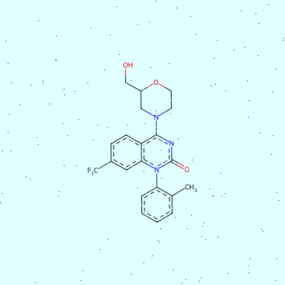 Cc1ccccc1-n1c(=O)nc(N2CCOC(CO)C2)c2ccc(C(F)(F)F)cc21